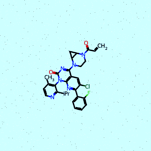 C=CC(=O)N1CCN(c2nc(=O)n(-c3c(C)ccnc3C(C)C)c3nc(-c4ccccc4F)c(Cl)cc23)C2CC21